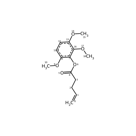 C=CCCC(=O)Oc1c(OC)ccc(OC)c1OC